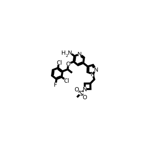 CC(Oc1cc(-c2cnn(CC3CN(S(C)(=O)=O)C3)c2)cnc1N)c1c(Cl)ccc(F)c1Cl